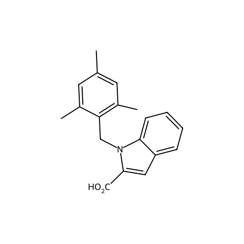 Cc1cc(C)c(Cn2c(C(=O)O)cc3ccccc32)c(C)c1